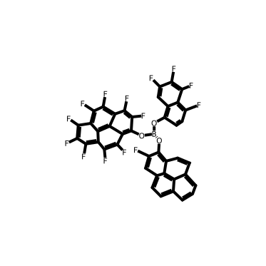 Fc1cc2c(OB(Oc3c(F)cc4ccc5cccc6ccc3c4c56)Oc3c(F)c(F)c4c(F)c(F)c5c(F)c(F)c(F)c6c(F)c(F)c3c4c56)ccc(F)c2c(F)c1F